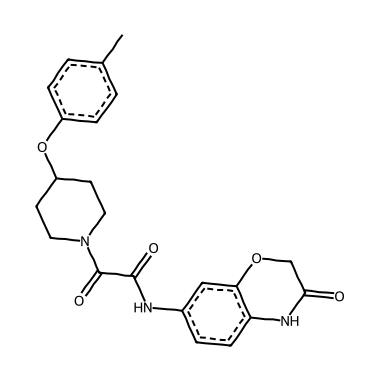 Cc1ccc(OC2CCN(C(=O)C(=O)Nc3ccc4c(c3)OCC(=O)N4)CC2)cc1